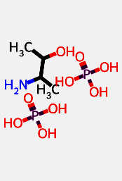 CC(N)C(C)O.O=P(O)(O)O.O=P(O)(O)O